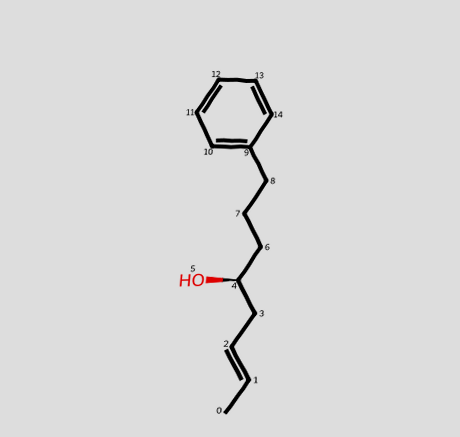 CC=CC[C@@H](O)CCCc1ccccc1